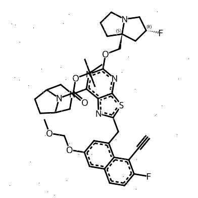 C#Cc1c(F)ccc2cc(OCOC)cc(Cc3nc4c(N5CC6CCC(C5)N6C(=O)OC(C)(C)C)nc(OC[C@@]56CCCN5C[C@H](F)C6)nc4s3)c12